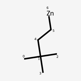 CC(C)(C)C[CH2][Zn]